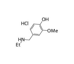 CCNCc1ccc(O)c(OC)c1.Cl